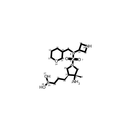 C[C@]1(N)CN(S(=O)(=O)N(CC2CCCOC2)C2CNC2)C[C@@H]1CCCB(O)O